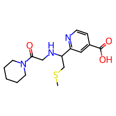 CSCC(NCC(=O)N1CCCCC1)c1cc(C(=O)O)ccn1